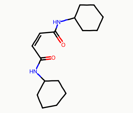 O=C(/C=C\C(=O)NC1CCCCC1)NC1CCCCC1